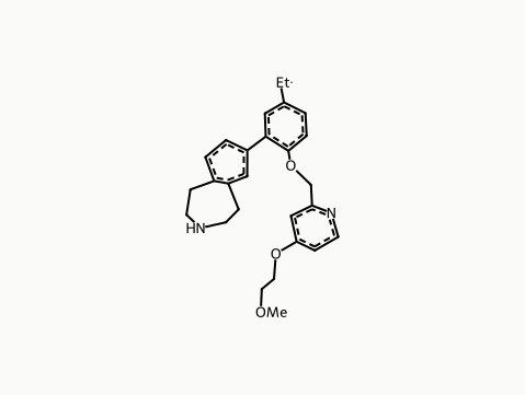 [CH2][CH]c1ccc(OCc2cc(OCCOC)ccn2)c(-c2ccc3c(c2)CCNCC3)c1